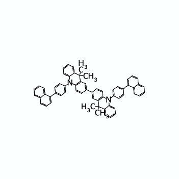 CC1(C)c2ccccc2N(c2ccc(-c3cccc4ccccc34)cc2)c2ccc(-c3ccc4c(c3)C(C)(C)c3ccccc3N4c3ccc(-c4cccc5ccccc45)cc3)cc21